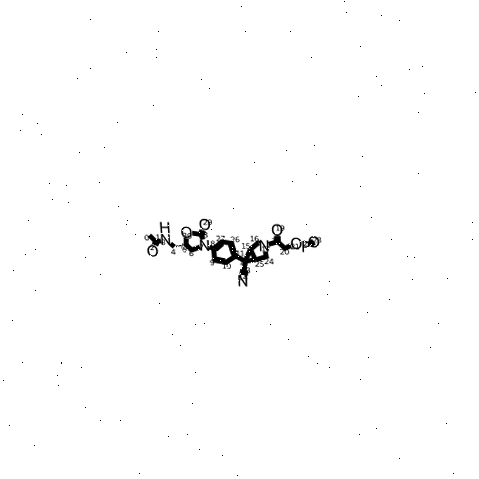 CC(=O)NC[C@H]1CN(c2ccc(C3(C#N)C4CN(C(=O)COP=O)CC43)cc2)C(=O)O1